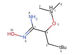 C[SiH](C)OC(CC(C)(C)C)C(N)=NO